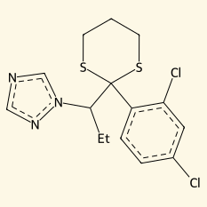 CCC(n1cncn1)C1(c2ccc(Cl)cc2Cl)SCCCS1